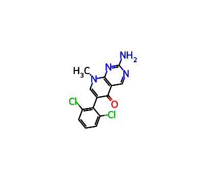 Cn1cc(-c2c(Cl)cccc2Cl)c(=O)c2cnc(N)nc21